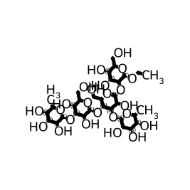 CCO[C@H]1OC(CO)[C@@H](O)[C@H](O)C1O[C@H]1OC(CO)[C@@H](O[C@@H]2OC(CO)[C@@H](O)[C@H](O[C@@H]3OC(C)[C@H](O)[C@H](O)C3O)C2O)[C@H](O[C@@H]2OC(C)[C@H](O)[C@H](O)C2O)C1O